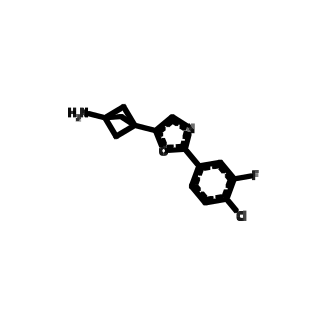 NC12CC(c3cnc(-c4ccc(Cl)c(F)c4)o3)(C1)C2